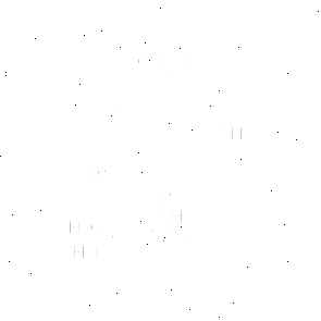 Cc1cccc(COc2cc([Se]C#Cc3ccc(C(=O)O)cc3)cc3c2C(C)(C)CCC3(C)C)c1